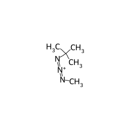 CN=[N+]=NC(C)(C)C